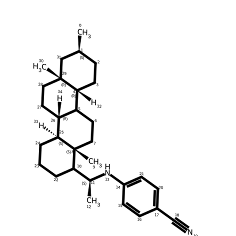 C[C@H]1CC[C@@H]2C3CC[C@]4(C)C([C@H](C)Nc5ccc(C#N)cc5)CCC[C@H]4[C@@H]3CC[C@]2(C)C1